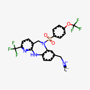 [C-]#[N+]Cc1ccc2c(c1)N(S(=O)(=O)c1ccc(OC(F)(F)F)cc1)Cc1ccc(C(F)(F)F)nc1N2